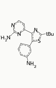 CC(C)(C)c1nc(-c2ccnc(N)n2)c(-c2cccc(N)c2)s1